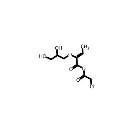 CC=C(OCC(O)CO)C(=O)OC(=O)CCl